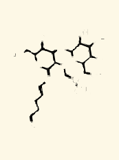 COCNC1C(OCCCCCS)OC(CO)C(O)C1OC1OC(CO)C(O)C(O)C1O